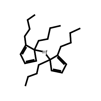 CCCCC1=CC=C[C]1(CCCC)[Hf][C]1(CCCC)C=CC=C1CCCC